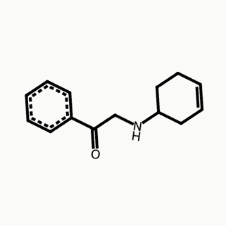 O=C(CNC1CC=CCC1)c1ccccc1